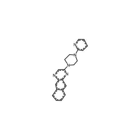 c1ccc(N2CCN(c3cnc4cc5ccccc5cc4n3)CC2)nc1